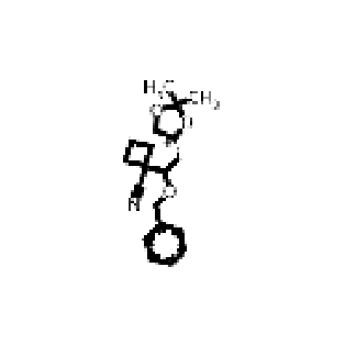 CC1(C)OC[C@@H](CC(OCc2ccccc2)C2(C#N)CCC2)O1